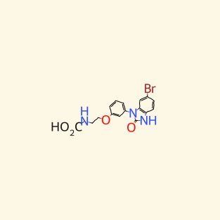 O=C(O)NCCOc1cccc(-n2c(=O)[nH]c3ccc(Br)cc32)c1